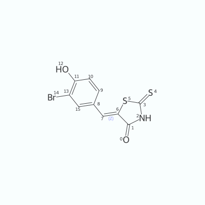 O=C1NC(=S)S/C1=C\c1ccc(O)c(Br)c1